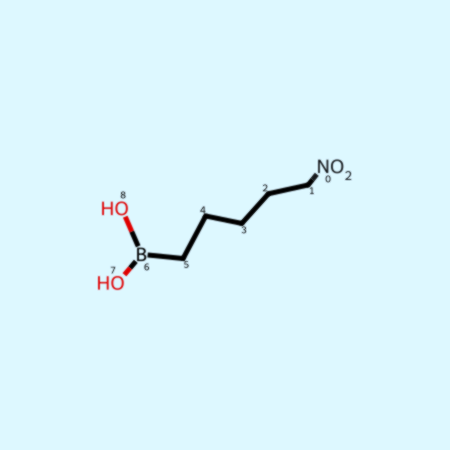 O=[N+]([O-])CCCCCB(O)O